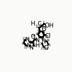 C[C@]1(CO)Cc2cc(NC(=O)c3cnn4cccnc34)c(N3CCOCC3)c(Cl)c2O1